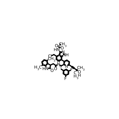 Cc1ccc(C)c2c1NC(=O)C2CC(=O)N[C@@H](Cc1cc(F)cc(F)c1)c1nc(C#CC(C)(C)O)ccc1-c1ccc(CCl)c2c(NS(C)(=O)=O)n[nH]c12